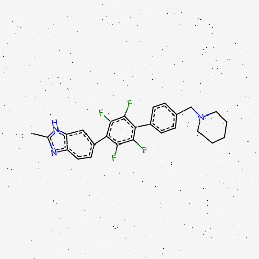 Cc1nc2ccc(-c3c(F)c(F)c(-c4ccc(CN5CCCCC5)cc4)c(F)c3F)cc2[nH]1